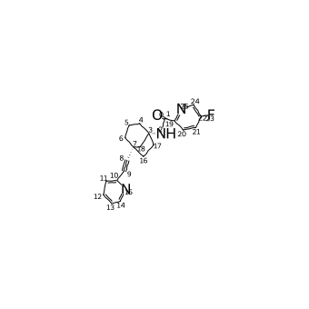 O=C(N[C@]12CCC[C@](C#Cc3ccccn3)(CC1)C2)c1ccc(F)cn1